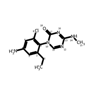 CCc1cc(N)cc(Cl)c1-n1cnc(NC)nc1=O